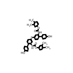 Cc1ccc(OC(=O)Nc2cc(Sc3ccc(-c4ccc(O)cc4)c(NC(=O)Oc4ccc(C)c(C)c4)c3)ccc2-c2ccc(O)cc2)cc1C